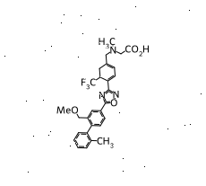 COCc1cc(-c2nc(C3=CC=C(CN(C)CC(=O)O)CC3C(F)(F)F)no2)ccc1-c1ccccc1C